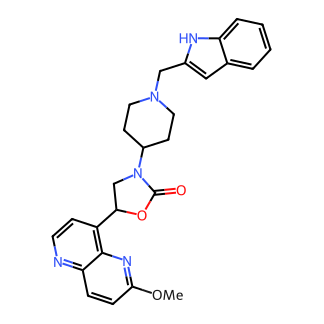 COc1ccc2nccc(C3CN(C4CCN(Cc5cc6ccccc6[nH]5)CC4)C(=O)O3)c2n1